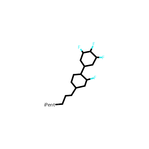 CCCC(C)CCCC1CCC(C2CC(F)C(F)C(F)C2)C(F)C1